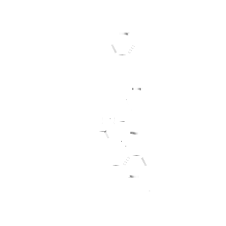 CC(C)(C)OC(=O)N[C@H](CCC(=O)OCc1ccccc1)C(=O)Nc1c(F)cc(Br)cc1F